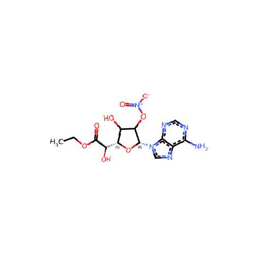 CCOC(=O)C(O)[C@H]1O[C@@H](n2cnc3c(N)ncnc32)C(O[N+](=O)[O-])C1O